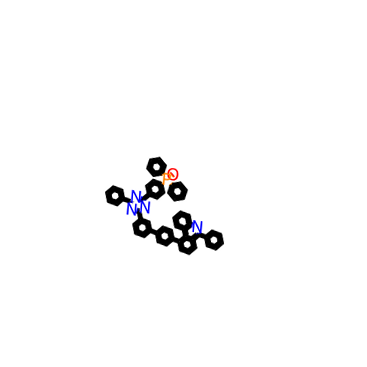 O=P(c1ccccc1)(c1ccccc1)c1ccc(-c2nc(-c3ccccc3)nc(-c3cccc(-c4ccc(-c5cccc6c(-c7ccccc7)nc7ccccc7c56)cc4)c3)n2)cc1